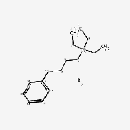 CC[N+](CC)(CC)CCCCc1ccccc1.[Br-]